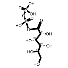 O=C(OP(=O)(O)OP(=O)(O)O)[C@H](O)[C@@H](O)[C@H](O)[C@H](O)CO